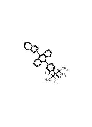 CC(C)(C)P(=O)(c1ccc(-c2c3ccccc3c(-c3ccc4ccccc4c3)c3ccccc23)cc1)C(C)(C)C